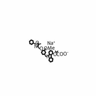 COc1cc(Cn2c3ccccc3c3c(OC(C)(C)C(=O)[O-])cccc32)ccc1OCc1nc(-c2ccccc2)oc1C.[Na+]